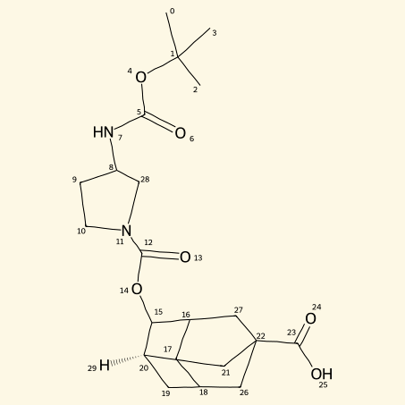 CC(C)(C)OC(=O)NC1CCN(C(=O)OC2C3CC4C[C@@H]2CC(C(=O)O)(C4)C3)C1